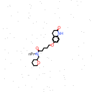 CCCN(CC1CCCCO1)C(=O)CCCCOc1ccc2c(c1)CCC(=O)N2